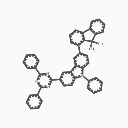 CC1(C)c2ccccc2-c2cccc(-c3ccc4c(c3)c3cc(-c5nc(-c6ccccc6)nc(-c6ccccc6)n5)ccc3n4-c3ccccc3)c21